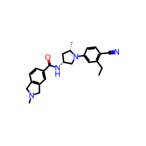 CCc1cc(N2C[C@H](NC(=O)c3ccc4c(c3)CN(C)C4)C[C@@H]2C)ccc1C#N